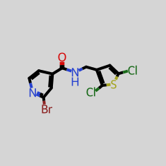 O=C(NCc1cc(Cl)sc1Cl)c1ccnc(Br)c1